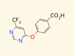 O=C(O)c1ccc(Oc2cc(C(F)(F)F)ncn2)cc1